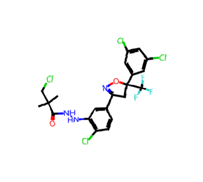 CC(C)(CCl)C(=O)NNc1cc(C2=NOC(c3cc(Cl)cc(Cl)c3)(C(F)(F)F)C2)ccc1Cl